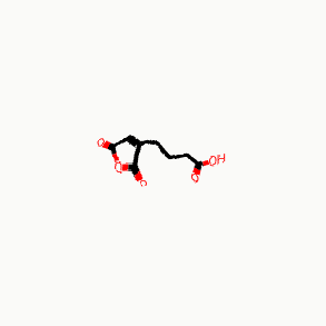 O=C(O)CCCC1=CC(=O)OC1=O